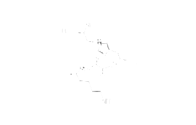 CC(O)[C@H](N)C(=O)O.NCCCC[C@H](N)C(=O)O.N[C@@H](CO)C(=O)O.N[C@@H](Cc1c[nH]cn1)C(=O)O